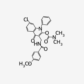 COc1ccc(C(=O)NCc2c(OC(=O)N(C)C)n(-c3ccccc3)c3cc(Cl)ccc3c2=O)cc1